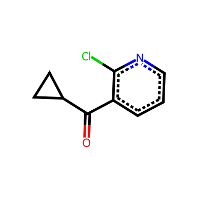 O=C(c1cccnc1Cl)C1CC1